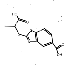 CC(Sc1nc2cc(C(=O)O)ccc2s1)C(=O)O